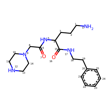 NCCCC(NC(=O)CN1CCNCC1)C(=O)NCCc1ccccc1